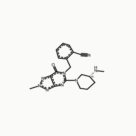 CN[C@@H]1CCCN(c2nc3nn(C)nc3c(=O)n2Cc2ccccc2C#N)C1